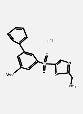 COc1cc(-c2ccccc2)cc(S(=O)(=O)c2cnc(CN)s2)c1.Cl